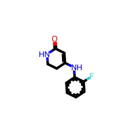 O=C1C=C(Nc2ccccc2F)CCN1